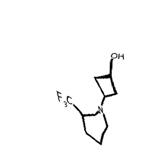 OC1CC(N2CCCC2C(F)(F)F)C1